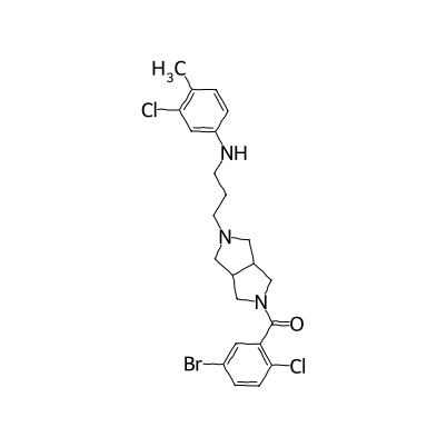 Cc1ccc(NCCCN2CC3CN(C(=O)c4cc(Br)ccc4Cl)CC3C2)cc1Cl